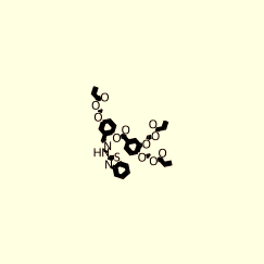 C=CC(=O)OCOc1ccc(OC(=O)c2ccc(OCOC(=O)C=C)c(OCOC(=O)C=C)c2)c(/C=N/Nc2nc3ccccc3s2)c1